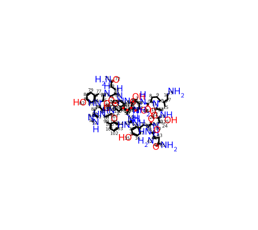 C[C@@H](O)[C@H](NC(=O)[C@@H]1CCCN1C(=O)[C@H](CCCCN)NC(=O)[C@H](CO)NC(=O)[C@H](Cc1ccc(O)cc1)NC(=O)[C@@H](N)CC(N)=O)C(=O)N[C@@H](CC(=O)O)C(=O)N[C@@H](CCCNC(=N)N)C(=O)N[C@@H](CCC(N)=O)C(=O)N[C@@H](Cc1ccc(O)cc1)C(=O)N[C@@H](Cc1c[nH]cn1)C(=O)N[C@@H](Cc1ccccc1)C(=O)N[C@@H](CCCCN)C(=O)O